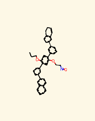 CCCOc1cc(-c2cccc(-c3ccc4c(c3)C=CCC4)c2)c(OCCN=O)cc1-c1cccc(-c2ccc3ccccc3c2)c1